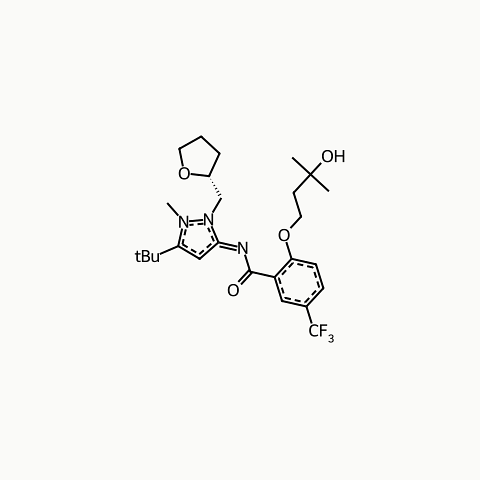 Cn1c(C(C)(C)C)cc(=NC(=O)c2cc(C(F)(F)F)ccc2OCCC(C)(C)O)n1C[C@H]1CCCO1